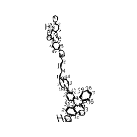 O=C1CCC(N2Cc3cc(OCCCCCN4CCN(c5ccc(C6c7ccc(O)cc7OC[C@@H]6c6ccccc6)cc5)CC4)ccc3C2=O)C(=O)N1